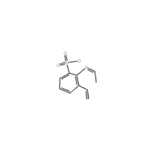 C=Cc1cccc(S(=O)(=O)Cl)c1/N=C\C